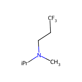 CC(C)N(C)CCC(F)(F)F